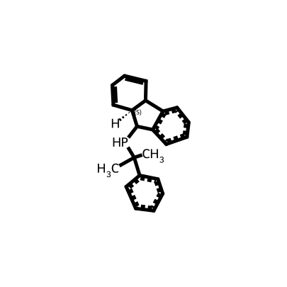 CC(C)(PC1c2ccccc2C2C=CC=C[C@@H]21)c1ccccc1